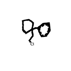 ClCCC1(c2ccccc2)CCCCC1